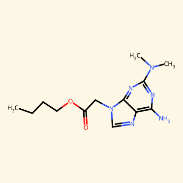 CCCCOC(=O)Cn1cnc2c(N)nc(N(C)C)nc21